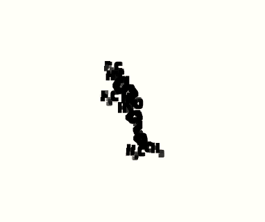 CC1(C)C2CN(CCN3CCC(NC(=O)c4ccc5nc(NCC(F)(F)F)cc(C(F)(F)F)c5n4)CC3)CC21